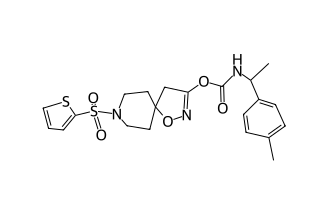 Cc1ccc(C(C)NC(=O)OC2=NOC3(CCN(S(=O)(=O)c4cccs4)CC3)C2)cc1